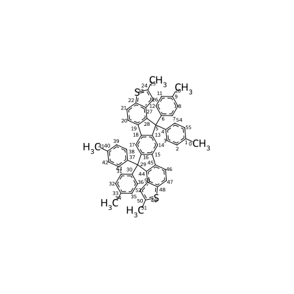 Cc1ccc(C2(c3ccc(C)cc3)c3cc4c(cc3-c3ccc5sc(C)cc5c32)C(c2ccc(C)cc2)(c2ccc(C)cc2)c2c-4ccc3sc(C)cc23)cc1